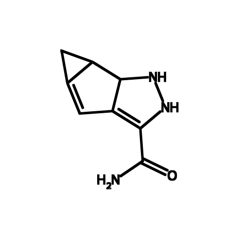 NC(=O)C1=C2C=C3CC3C2NN1